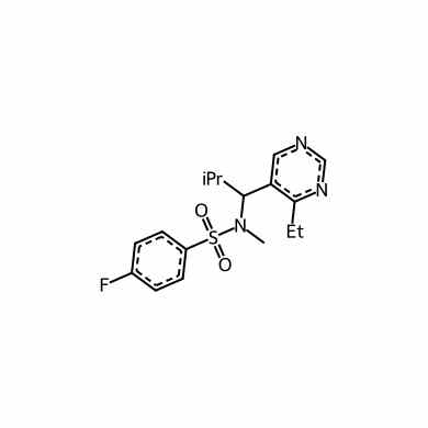 CCc1ncncc1C(C(C)C)N(C)S(=O)(=O)c1ccc(F)cc1